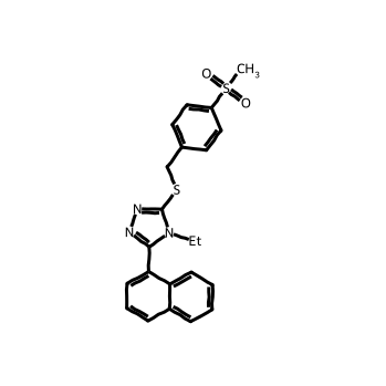 CCn1c(SCc2ccc(S(C)(=O)=O)cc2)nnc1-c1cccc2ccccc12